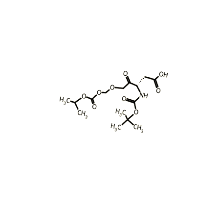 CC(C)OC(=O)OCOCC(=O)[C@H](CC(=O)O)NC(=O)OC(C)(C)C